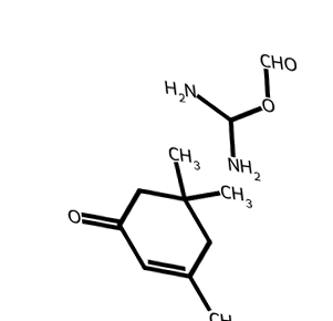 CC1=CC(=O)CC(C)(C)C1.NC(N)OC=O